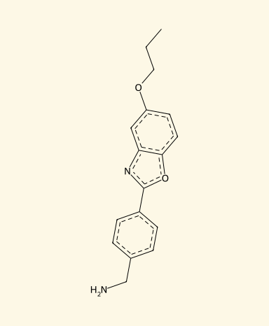 CCCOc1ccc2oc(-c3ccc(CN)cc3)nc2c1